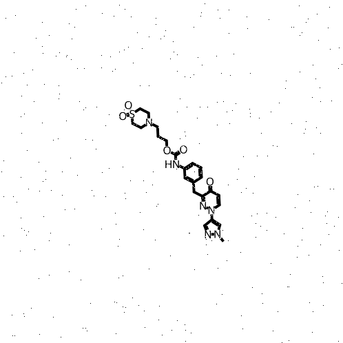 Cn1cc(-n2ccc(=O)c(Cc3cccc(NC(=O)OCCCN4CCS(=O)(=O)CC4)c3)n2)cn1